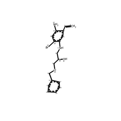 C=Cc1cc(NC[C@@H](O)COCc2ccccc2)c(Br)cc1N